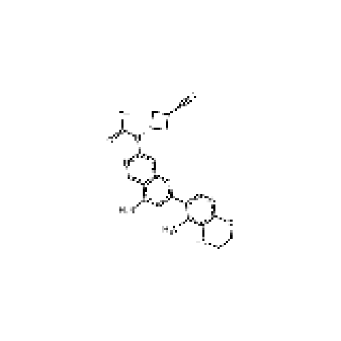 Cc1c(-c2cc(N)c3cnc(N(C(=O)O)[C@H]4C[C@H](C#N)C4)cc3c2)cnc2c1NCCO2